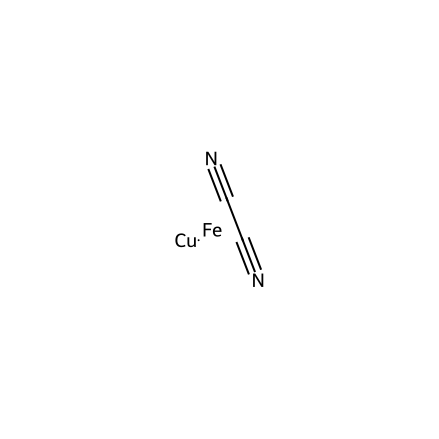 N#CC#N.[Cu].[Fe]